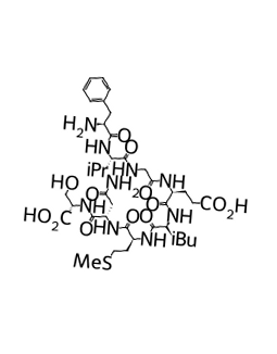 CC[C@H](C)[C@H](NC(=O)[C@H](CCC(=O)O)NC(=O)CNC(=O)[C@@H](NC(=O)[C@@H](N)Cc1ccccc1)C(C)C)C(=O)N[C@@H](CCSC)C(=O)N[C@@H](CC(N)=O)C(=O)N[C@@H](CO)C(=O)O